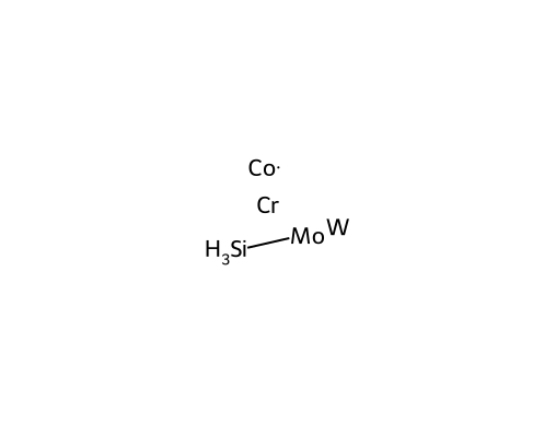 [Co].[Cr].[SiH3][Mo].[W]